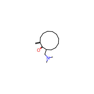 C=C1CCCCCCCCCC(CN(C)C)C1=O